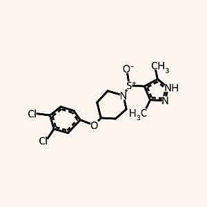 Cc1n[nH]c(C)c1[S+]([O-])N1CCC(Oc2ccc(Cl)c(Cl)c2)CC1